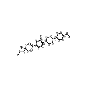 CCCC1(F)COC(c2ccc(C3CCC(c4ccc(CC)cc4)CC3)c(F)c2)OC1